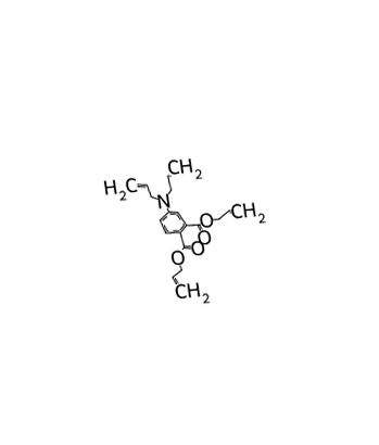 C=CCOC(=O)c1ccc(N(CC=C)CC=C)cc1C(=O)OCC=C